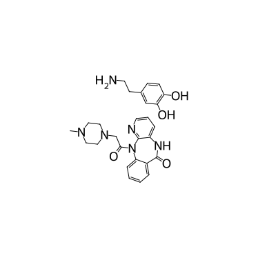 CN1CCN(CC(=O)N2c3ccccc3C(=O)Nc3cccnc32)CC1.NCCc1ccc(O)c(O)c1